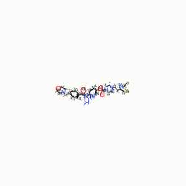 Cc1nc(CCN2CCN(C(=O)Oc3ccc(NC(=O)c4ccc(CN5CCOCC5)cc4)nc3)CC2)cs1